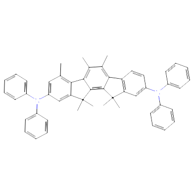 Cc1cc(N(c2ccccc2)c2ccccc2)cc2c1-c1c(C)c(C)c3c(c1C2(C)C)C(C)(C)c1cc(N(c2ccccc2)c2ccccc2)ccc1-3